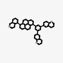 c1cnc2ccc(-c3cc(-c4ccc5ncccc5c4)cc(-c4ccc5ccc6c(-c7cccc8cnccc78)ccc7ccc4c5c76)c3)cc2c1